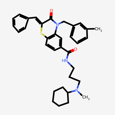 Cc1cccc(CN2C(=O)C(=Cc3ccccc3)Sc3ccc(C(=O)NCCCN(C)C4CCCCC4)cc32)c1